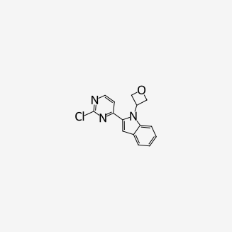 Clc1nccc(-c2cc3ccccc3n2C2COC2)n1